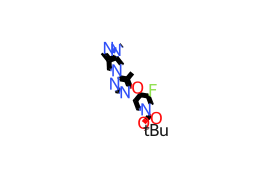 Cc1c(O[C@@H]2CCN(C(=O)OC(C)(C)C)CC2F)ncnc1N1Cc2cnn(C)c2C1